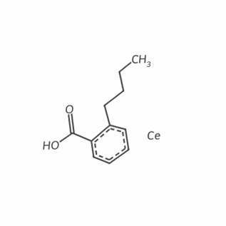 CCCCc1ccccc1C(=O)O.[Ce]